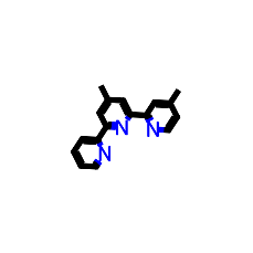 Cc1ccnc(-c2cc(C)cc(-c3ccccn3)n2)c1